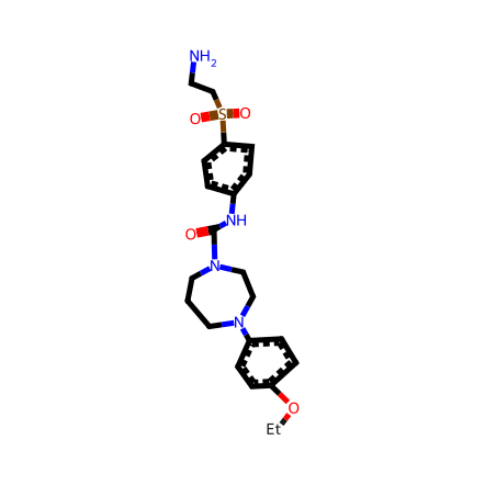 CCOc1ccc(N2CCCN(C(=O)Nc3ccc(S(=O)(=O)CCN)cc3)CC2)cc1